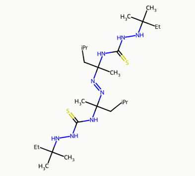 CCC(C)(C)NNC(=S)NC(C)(CC(C)C)N=NC(C)(CC(C)C)NC(=S)NNC(C)(C)CC